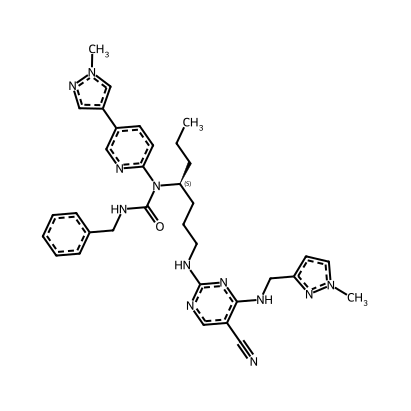 CCC[C@@H](CCCNc1ncc(C#N)c(NCc2ccn(C)n2)n1)N(C(=O)NCc1ccccc1)c1ccc(-c2cnn(C)c2)cn1